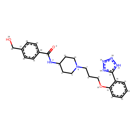 O=C(NC1CCN(CCCOc2ccccc2-c2nnn[nH]2)CC1)c1ccc(CO)cc1